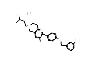 CCOC(=O)C(C)CCN1CCc2nc(-c3ccc(OCc4cccc(Cl)c4)cc3)c(F)cc2C1